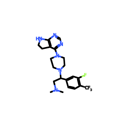 CN(C)CC(c1ccc(C(F)(F)F)c(F)c1)N1CCN(c2ncnc3c2CCN3)CC1